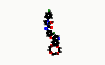 O=C(Nc1ccc(Oc2ccnc3cc4c(cc23)OCCOCCOCCO4)c(F)c1)N1CCN(c2ccc(F)cc2)C1=O